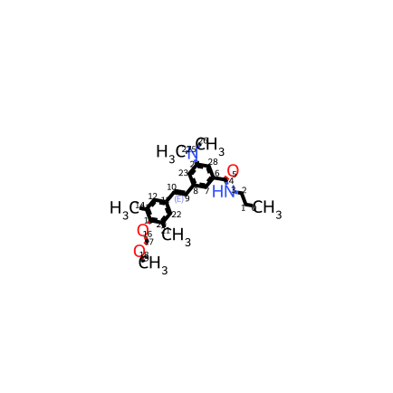 CCCNC(=O)c1cc(/C=C/c2cc(C)c(OCOC)c(C)c2)cc(N(C)C)c1